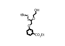 CCOC(=O)c1cccc(OCC(OCCO)SSC(C)(C)C)c1